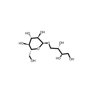 OC[C@@H](O)[C@@H](O)CO[C@H]1O[C@H](CO)[C@@H](O)[C@H](O)[C@H]1O